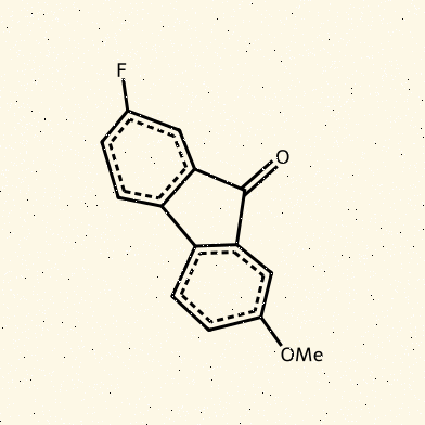 COc1ccc2c(c1)C(=O)c1cc(F)ccc1-2